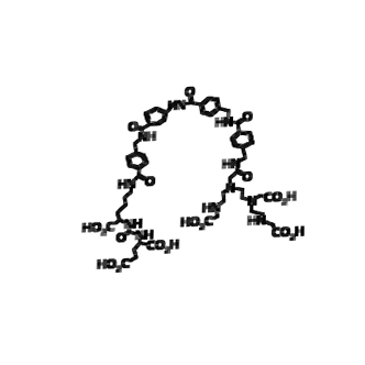 O=C(O)CCC(NC(=O)NC(CCCCNC(=O)c1ccc(CNC(=O)c2ccc(CNC(=O)c3ccc(CNC(=O)c4ccc(CNC(=O)CN(CCNCC(=O)O)CCN(CCNCC(=O)O)CC(=O)O)cc4)cc3)cc2)cc1)C(=O)O)C(=O)O